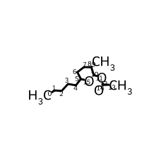 CCCCCC1CCC(C)C(OC(C)=O)O1